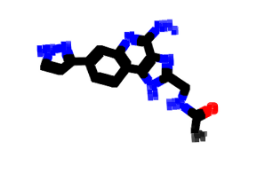 CC(C)C(=O)NCc1nc2c(N)nc3cc(-c4cc[nH]n4)ccc3c2[nH]1